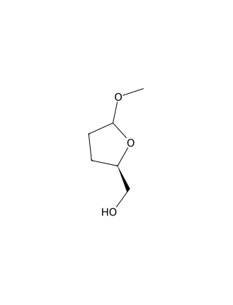 COC1CC[C@H](CO)O1